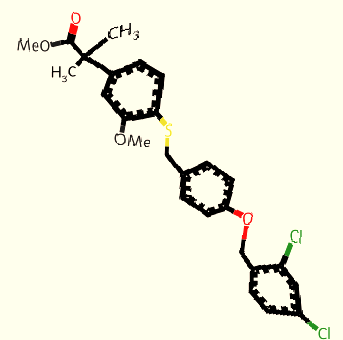 COC(=O)C(C)(C)c1ccc(SCc2ccc(OCc3ccc(Cl)cc3Cl)cc2)c(OC)c1